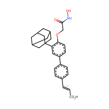 O=C(O)/C=C/c1ccc(-c2ccc(OCC(=O)NO)c(C34CC5CC(CC(C5)C3)C4)c2)cc1